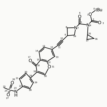 CC(C)(C)OC(=O)N(C(=O)N1CC(C#Cc2ccc3c(=O)c(-c4ccc(NS(C)(=O)=O)cc4)coc3c2)C1)C1CC1